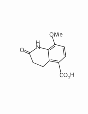 COc1ccc(C(=O)O)c2c1NC(=O)CC2